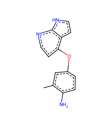 Cc1cc(Oc2ccnc3[nH]ccc23)ccc1N